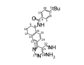 CC(C)(C)c1ccc(C(=O)NC2CCCc3cc(-c4ncnc(N)c4C=N)ccc32)cc1